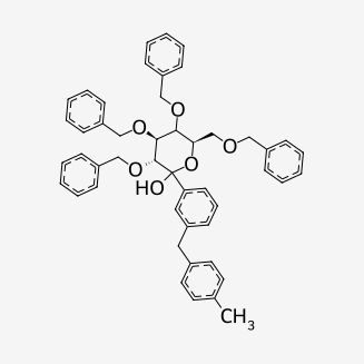 Cc1ccc(Cc2cccc(C3(O)O[C@H](COCc4ccccc4)C(OCc4ccccc4)[C@H](OCc4ccccc4)[C@H]3OCc3ccccc3)c2)cc1